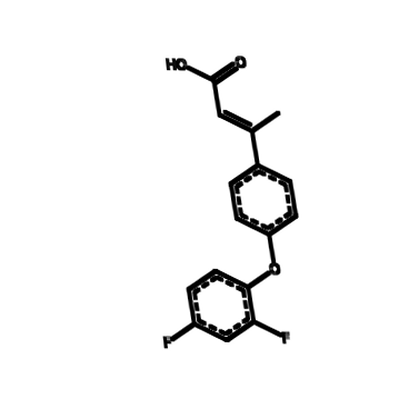 CC(=CC(=O)O)c1ccc(Oc2ccc(F)cc2F)cc1